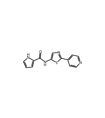 O=C(Nc1cnc(-c2ccncc2)s1)c1ccc[nH]1